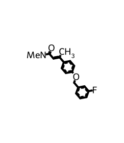 CNC(=O)C=C(C)c1ccc(OCc2cccc(F)c2)cc1